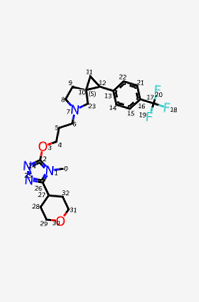 Cn1c(OCCCN2CC[C@]3(CC3c3ccc(C(F)(F)F)cc3)C2)nnc1C1CCOCC1